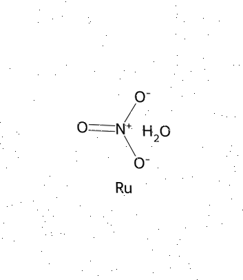 O.O=[N+]([O-])[O-].[Ru]